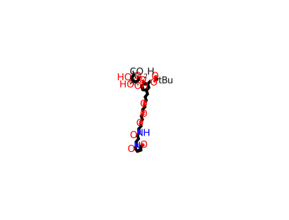 CC(C)(C)C(=O)OCc1cc(CCCOCCOCCOCCNC(=O)CCN2C(=O)C=CC2=O)ccc1O[C@@H]1O[C@H](C(=O)O)[C@@H](O)[C@H](O)[C@H]1O